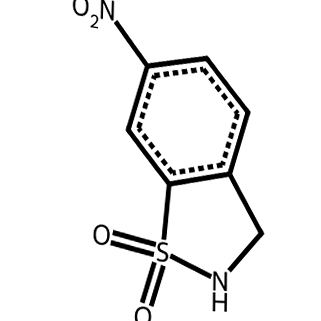 O=[N+]([O-])c1ccc2c(c1)S(=O)(=O)NC2